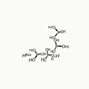 OB(O)O.OB(O)O.OB(O)O.OB(O)O.[LiH].[NaH]